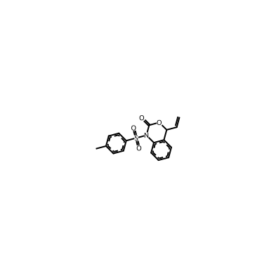 C=CC1OC(=O)N(S(=O)(=O)c2ccc(C)cc2)c2ccccc21